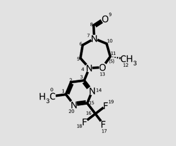 Cc1cc(N2CCN(C=O)C[C@H](C)O2)nc(C(F)(F)F)n1